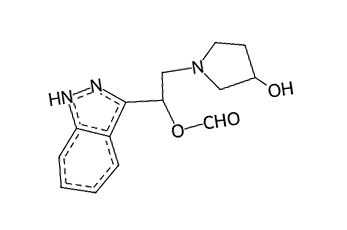 O=COC(CN1CCC(O)C1)c1n[nH]c2ccccc12